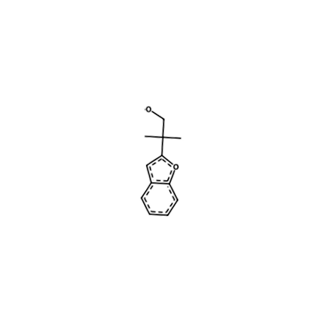 CC(C)(C[O])c1cc2ccccc2o1